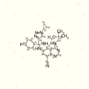 BC(Nc1cc(C#N)c2ncnc(NCC(C)(C)C)c2c1)(c1ccc(F)cc1)c1cn(C2CC2)nn1